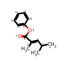 CC(=CC(C)C)C(=O)Oc1ccccc1